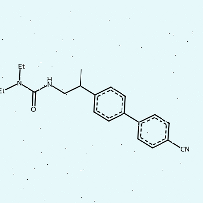 CCN(CC)C(=O)NCC(C)c1ccc(-c2ccc(C#N)cc2)cc1